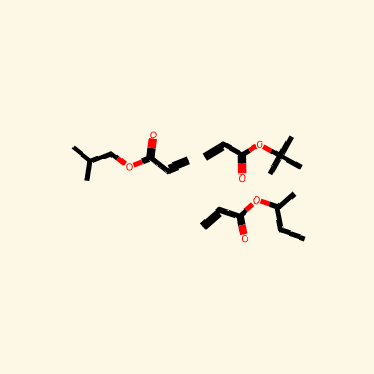 C=CC(=O)OC(C)(C)C.C=CC(=O)OC(C)CC.C=CC(=O)OCC(C)C